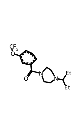 CCC(CC)N1CCN(C(=O)c2cccc(OC(F)(F)F)c2)CC1